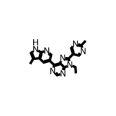 CCn1c(-c2cnc(C)nc2)nc2c(-c3cnc4[nH]cc(C)c4c3)ncnc21